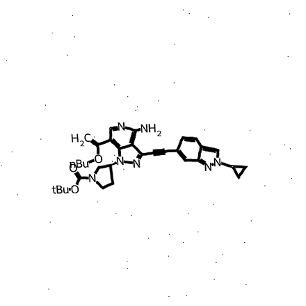 C=C(OCCCC)c1cnc(N)c2c(C#Cc3ccc4cn(C5CC5)nc4c3)nn([C@H]3CCN(C(=O)OC(C)(C)C)C3)c12